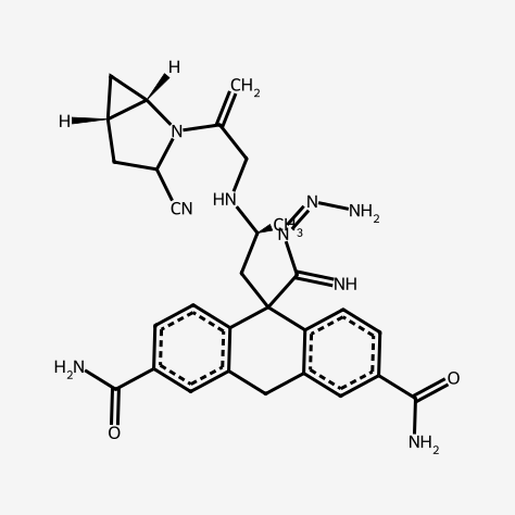 C=C(CN[C@@H](C)CC1(C(=N)/N=N\N)c2ccc(C(N)=O)cc2Cc2cc(C(N)=O)ccc21)N1C(C#N)C[C@@H]2C[C@@H]21